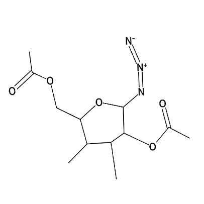 CC(=O)OCC1OC(N=[N+]=[N-])C(OC(C)=O)C(C)C1C